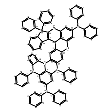 c1ccc(N(c2ccccc2)c2cc3c4c(c2)Oc2cc5c(cc2B4C2=C(O3)[Si](c3ccccc3)(c3ccccc3)c3ccccc32)B2c3ccccc3N(c3ccccc3)c3cc(N(c4ccccc4)c4ccccc4)cc(c32)N5c2ccccc2)cc1